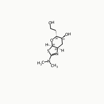 CN(C)C1=N[C@@H]2C[C@H](O)[C@@H](CCO)O[C@@H]2S1